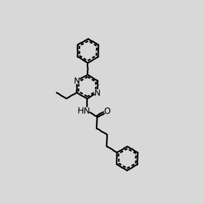 CCc1nc(-c2ccccc2)cnc1NC(=O)CCCc1ccccc1